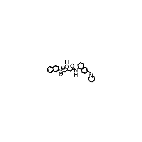 O=C(CC(O)CS(=O)(=O)c1ccc2ccccc2c1)N[C@@H]1CCCc2cc(CN3CCCCC3)ccc21